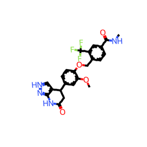 CNC(=O)c1ccc(COc2ccc(C3CC(=O)Nc4n[nH]cc43)cc2OC)c(C(F)(F)F)c1